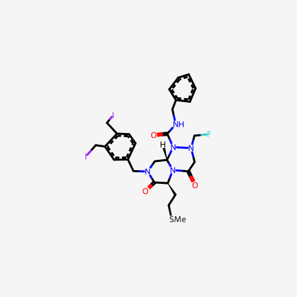 CSCC[C@H]1C(=O)N(Cc2ccc(CI)c(CI)c2)C[C@H]2N1C(=O)CN(CF)N2C(=O)NCc1ccccc1